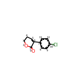 O=C1OCCC=C1c1ccc(Cl)cc1